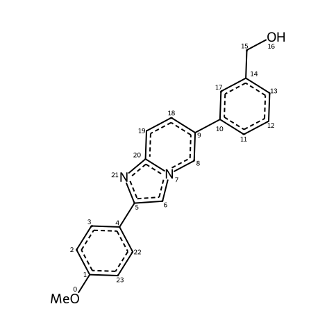 COc1ccc(-c2cn3cc(-c4cccc(CO)c4)ccc3n2)cc1